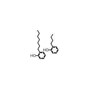 CCCCCCCc1ccccc1O.CCCCc1ccccc1O